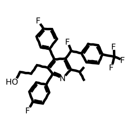 CC(C)c1nc(-c2ccc(F)cc2)c(CCCO)c(-c2ccc(F)cc2)c1C(F)c1ccc(C(F)(F)F)cc1